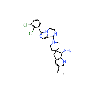 Cc1cnc2c(c1)CC1(CCN(c3nccn4c(-c5cccc(Cl)c5Cl)ncc34)CC1)C2N